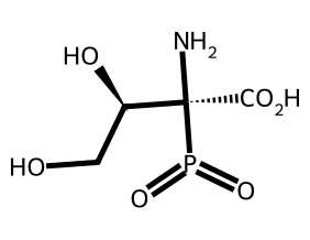 N[C@](C(=O)O)([C@H](O)CO)P(=O)=O